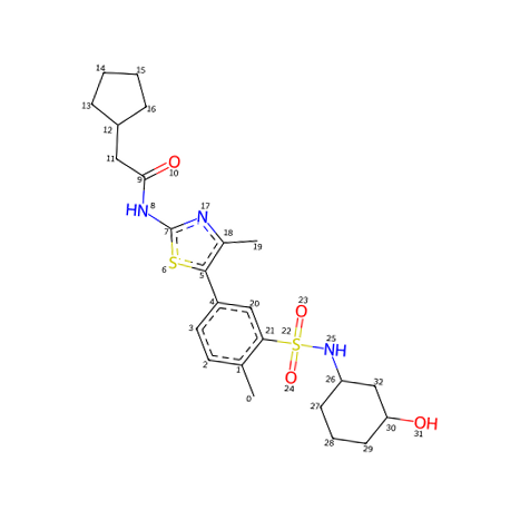 Cc1ccc(-c2sc(NC(=O)CC3CCCC3)nc2C)cc1S(=O)(=O)NC1CCCC(O)C1